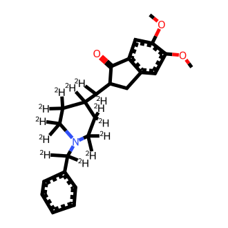 [2H]C([2H])(c1ccccc1)N1C([2H])([2H])C([2H])([2H])C([2H])(C([2H])([2H])C2Cc3cc(OC)c(OC)cc3C2=O)C([2H])([2H])C1([2H])[2H]